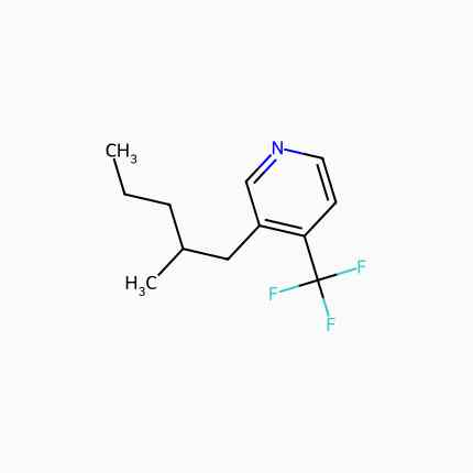 CCCC(C)Cc1cnccc1C(F)(F)F